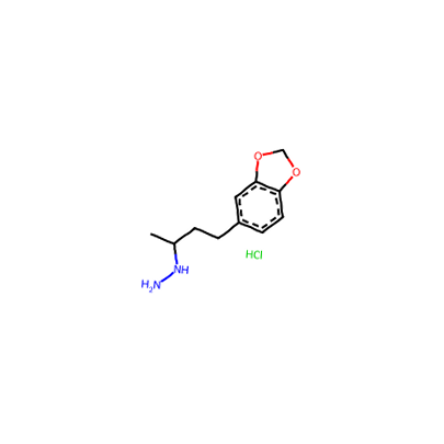 CC(CCc1ccc2c(c1)OCO2)NN.Cl